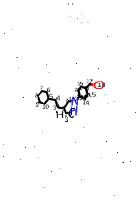 CCC(CCC1CCCCC1)CNc1ccc(C=O)cc1